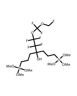 CO[Si](CCCC(O)(CCC[Si](OC)(OC)OC)C(F)(F)C(F)(F)OC(F)(F)OCF)(OC)OC